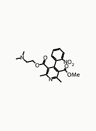 COC(=O)c1c(C)nc(C)c(C(=O)OCCN(C)C)c1-c1ccccc1[N+](=O)[O-]